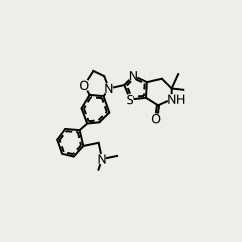 CN(C)Cc1ccccc1-c1ccc2c(c1)OCCN2c1nc2c(s1)C(=O)NC(C)(C)C2